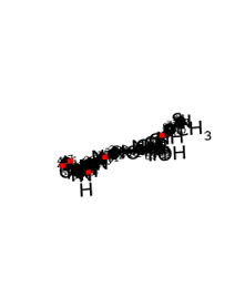 Cc1ncsc1-c1ccc(CNC(=O)[C@@H]2C[C@@H](O)CN2C(=O)[C@@H](c2cc(OCCCN3CCC(c4cnc(N5CCN6c7cc(-c8ccccc8O)nnc7NC[C@@H]6C5)nc4)CC3)no2)C(C)C)cc1